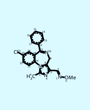 CON=Cc1nc(C)n2c1CN=C(c1ccccc1)c1cc(Cl)ccc1-2